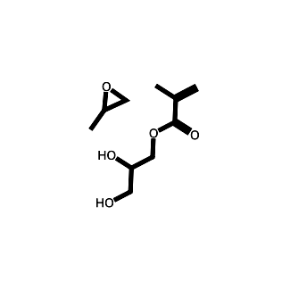 C=C(C)C(=O)OCC(O)CO.CC1CO1